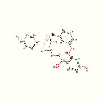 CC(C)(C)[Si](C)(C)O[C@H](CCCCC(=O)c1ccc(Br)cc1OCc1ccccc1)c1ccc(F)cc1